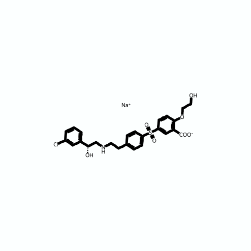 O=C([O-])c1cc(S(=O)(=O)c2ccc(CCNC[C@H](O)c3cccc(Cl)c3)cc2)ccc1OCCO.[Na+]